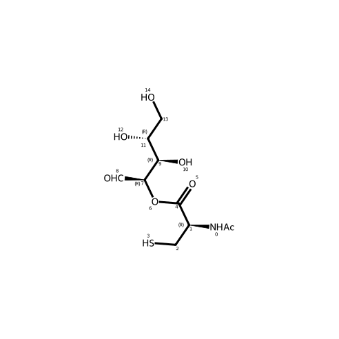 CC(=O)N[C@@H](CS)C(=O)O[C@@H](C=O)[C@H](O)[C@H](O)CO